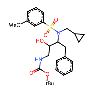 COc1cccc(S(=O)(=O)N(CC2CC2)C(Cc2ccccc2)C(O)CNC(=O)OC(C)(C)C)c1